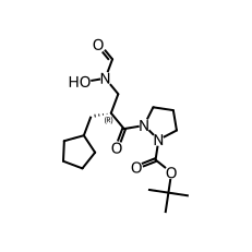 CC(C)(C)OC(=O)N1CCCN1C(=O)[C@H](CC1CCCC1)CN(O)C=O